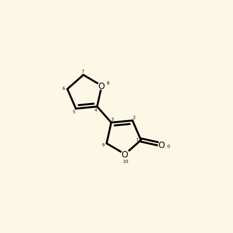 O=C1C=C(C2=CCCO2)CO1